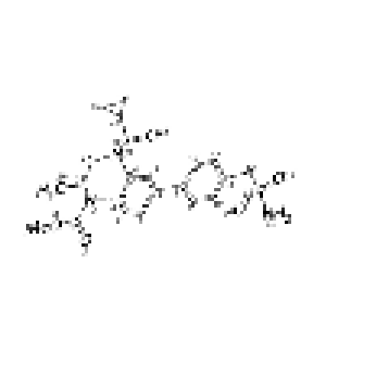 COC(=O)N1c2ccc(-c3ccc(CS(N)(=O)=O)cc3)cc2N(C(=O)C2CC2)CC1C